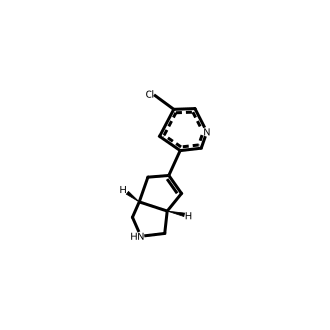 Clc1cncc(C2=C[C@@H]3CNC[C@@H]3C2)c1